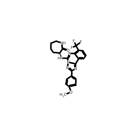 COc1ccc(-c2nc3c4cccc(C(F)(F)F)c4nc(N[C@H]4CCCCNC4=O)n3n2)cc1